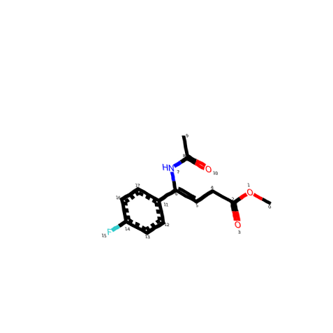 COC(=O)CC=C(NC(C)=O)c1ccc(F)cc1